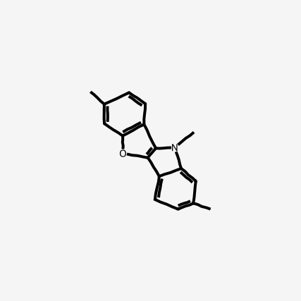 Cc1ccc2c(c1)oc1c3ccc(C)cc3n(C)c21